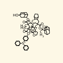 CC1C2CCC(C2)C1CC(C)(CC(CC(C)(CC(C)(C)C(=O)Oc1ccc([S+](c2ccccc2)c2ccccc2)cc1)C(=O)OC1C2CC3CC1CC(O)(C3)C2)C(=O)OC1CCOC1=O)C(=O)OC(C)(C)C12CC3CC(CC(C3)C1)C2